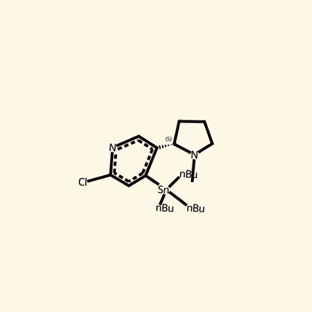 CCC[CH2][Sn]([CH2]CCC)([CH2]CCC)[c]1cc(Cl)ncc1[C@@H]1CCCN1C